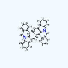 c1ccc2c(c1)Cn1c3ccccc3c3cc4c5c6c(cc4c-2c31)c1ccccc1n6Cc1ccccc1-5